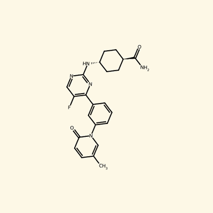 Cc1ccc(=O)n(-c2cccc(-c3nc(N[C@H]4CC[C@H](C(N)=O)CC4)ncc3F)c2)c1